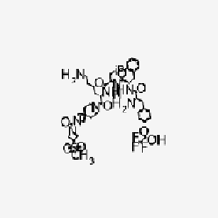 CC(C)C[C@@H](NC(=O)[C@@H](Cc1ccccc1)NC(=O)[C@H](N)Cc1ccccc1)C(=O)N[C@H](CCCCN)C(=O)N1CCC2(CC1)CN(C(=O)N1CC(S(C)(=O)=O)C1)C2.O=C(O)C(F)(F)F